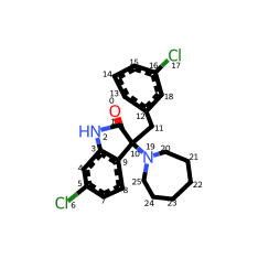 O=C1Nc2cc(Cl)ccc2C1(Cc1cccc(Cl)c1)N1CCCCCC1